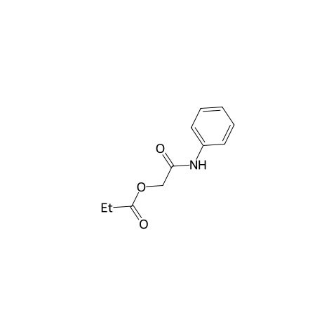 CCC(=O)OCC(=O)Nc1ccccc1